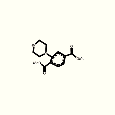 COC(=O)c1ccc(C(=O)OC)c(N2CCNCC2)c1